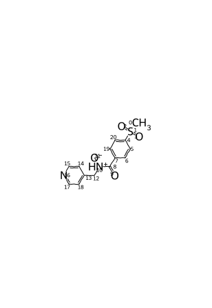 CS(=O)(=O)c1ccc(C(=O)[NH+]([O-])Cc2ccncc2)cc1